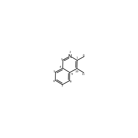 Cc1n[c]c2ccccc2c1C